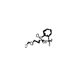 O=[C]OCCS(=O)(=O)c1ccccc1C(F)(F)F